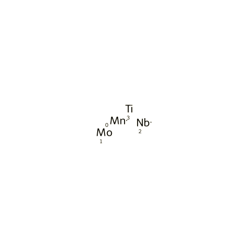 [Mn].[Mo].[Nb].[Ti]